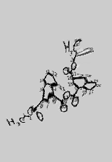 CCCOC(=O)c1cc(C(=O)OC(=O)c2cc(C(=O)OCCC)cc3ccccc23)c2ccccc2c1